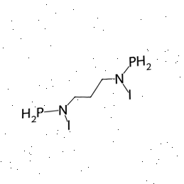 PN(I)CCCN(P)I